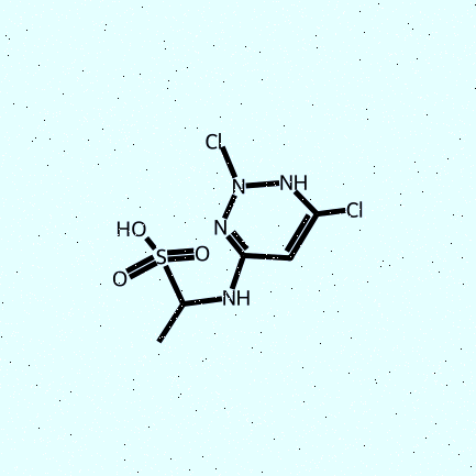 CC(NC1=NN(Cl)NC(Cl)=C1)S(=O)(=O)O